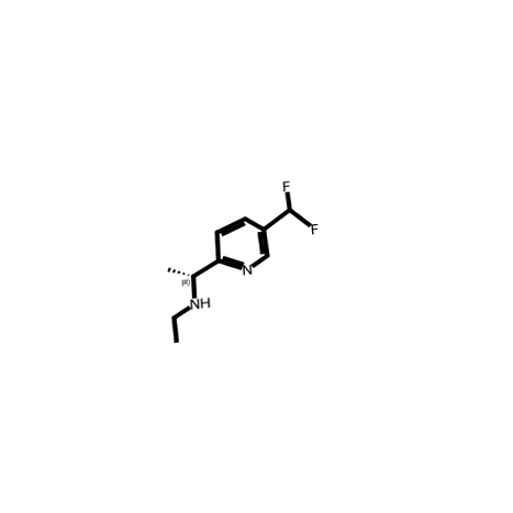 CCN[C@H](C)c1ccc(C(F)F)cn1